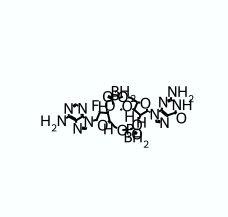 B[P@]1(=O)OCC2O[C@@H](n3cnc4c(=O)[nH]c(N)nc43)[C@@H](O[P@@](B)(=O)OC[C@H]3OC(n4cnc5c(N)ncnc54)[C@@H](F)[C@H]3O1)[C@H]2OC